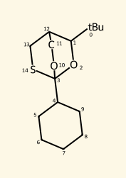 CC(C)(C)C1OC2(C3CCCCC3)OCC1CS2